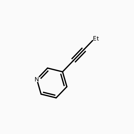 [CH2]CC#Cc1cccnc1